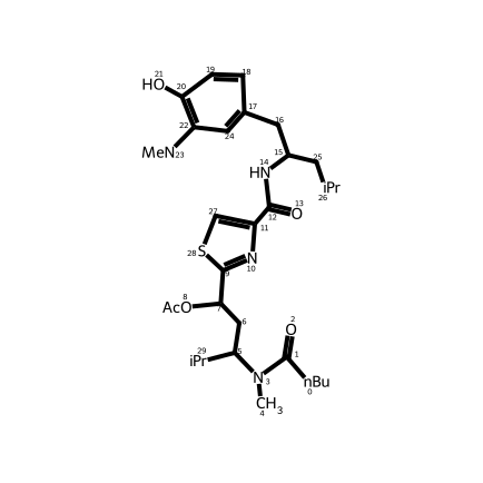 CCCCC(=O)N(C)C(CC(OC(C)=O)c1nc(C(=O)NC(Cc2ccc(O)c(NC)c2)CC(C)C)cs1)C(C)C